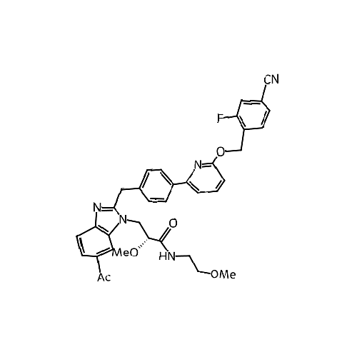 COCCNC(=O)[C@@H](Cn1c(Cc2ccc(-c3cccc(OCc4ccc(C#N)cc4F)n3)cc2)nc2ccc(C(C)=O)cc21)OC